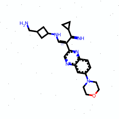 N=C(/C(=C\NC1CC(CN)C1)c1cnc2cc(N3CCOCC3)ccc2n1)C1CC1